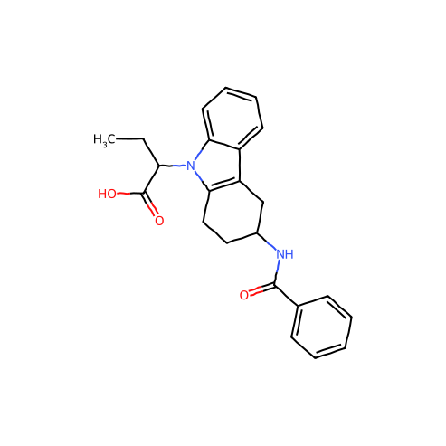 CCC(C(=O)O)n1c2c(c3ccccc31)CC(NC(=O)c1ccccc1)CC2